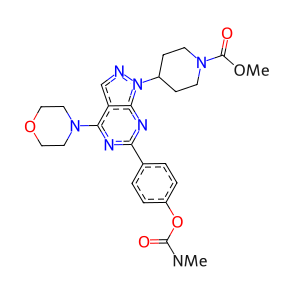 CNC(=O)Oc1ccc(-c2nc(N3CCOCC3)c3cnn(C4CCN(C(=O)OC)CC4)c3n2)cc1